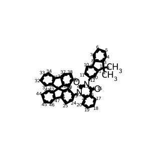 CC1(C)c2ccccc2-c2ccc(-n3c(=O)c4ccccc4n(-c4ccc5c(c4)C4(c6ccccc6-c6ccccc64)c4ccccc4-5)c3=O)cc21